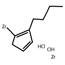 CCCCC1=[C]([Zr])CC=C1.Cl.Cl.[Zr]